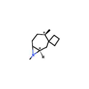 C[C@@H]1CCC2[C@@H](CC13CCC3)N2C